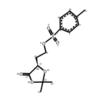 Cc1ccc(S(=O)(=O)OCC[C@H]2OC(C)(C)OC2=O)cc1